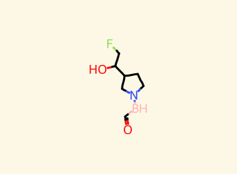 O=CBN1CCC(C(O)CF)C1